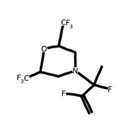 C=C(F)C(C)(F)N1CC(C(F)(F)F)OC(C(F)(F)F)C1